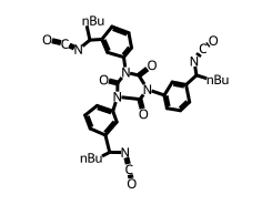 CCCCC(N=C=O)c1cccc(-n2c(=O)n(-c3cccc(C(CCCC)N=C=O)c3)c(=O)n(-c3cccc(C(CCCC)N=C=O)c3)c2=O)c1